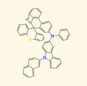 c1ccc(N(c2ccc3c(c2)C2(c4ccccc4Sc4ccccc42)c2cccc4cccc-3c24)c2ccc3c(c2)c2ccccc2n3-c2ccc3ccccc3c2)cc1